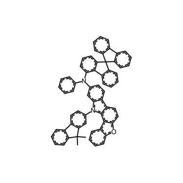 CC1(C)c2ccccc2-c2ccc(-n3c4cc(N(c5ccccc5)c5cccc6c5-c5ccccc5C65c6ccccc6-c6ccccc65)ccc4c4ccc5oc6ccccc6c5c43)cc21